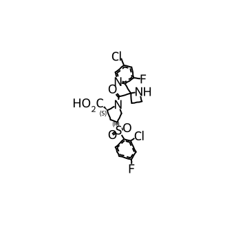 O=C(O)[C@@H]1C[C@@H](S(=O)(=O)c2ccc(F)cc2Cl)CN1C(=O)C1(c2ncc(Cl)cc2F)CCN1